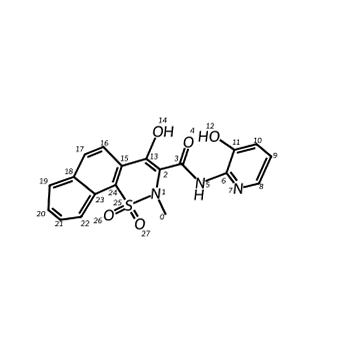 CN1C(C(=O)Nc2ncccc2O)=C(O)c2ccc3ccccc3c2S1(=O)=O